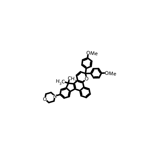 COc1ccc(C2(c3ccc(OC)cc3)C=Cc3c4c(c5ccccc5c3O2)-c2ccc(N3CCOCC3)cc2C4(C)C)cc1